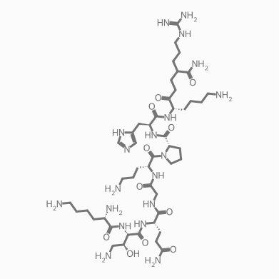 N=C(N)NCCCC(CCC(=O)[C@H](CCCCN)NC(=O)[C@H](Cc1cnc[nH]1)NC(=O)[C@@H]1CCCN1C(=O)[C@@H](CCCN)NC(=O)CNC(=O)[C@H](CCC(N)=O)NC(=O)[C@@H](NC(=O)[C@@H](N)CCCCN)[C@@H](O)CN)C(N)=O